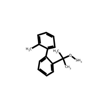 Cc1ccccc1-c1ccccc1C(C)(C)O[SiH3]